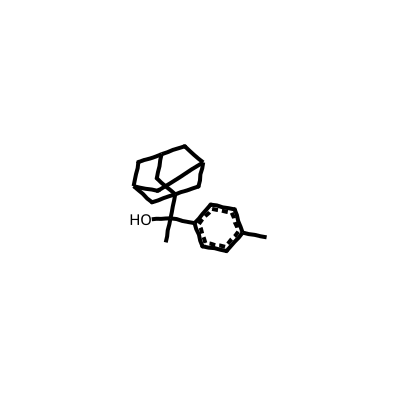 Cc1ccc(C(C)(O)C23CC4CC(CC(C4)C2)C3)cc1